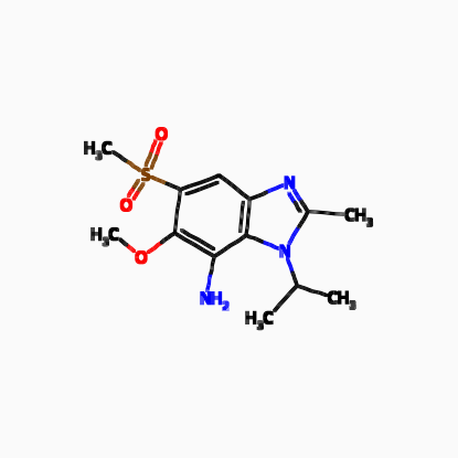 COc1c(S(C)(=O)=O)cc2nc(C)n(C(C)C)c2c1N